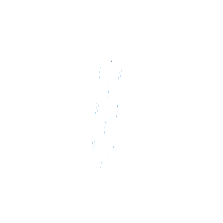 Pc1ccc(-c2ccc(-c3ccc(P)c(P)c3)cc2I)cc1